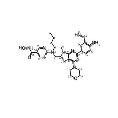 CCCCN(Cc1nc2c(N3CCOCC3)nc(-c3ccc(N)c(C=N)c3)nc2n1C)c1ncc(C(=O)NO)cn1